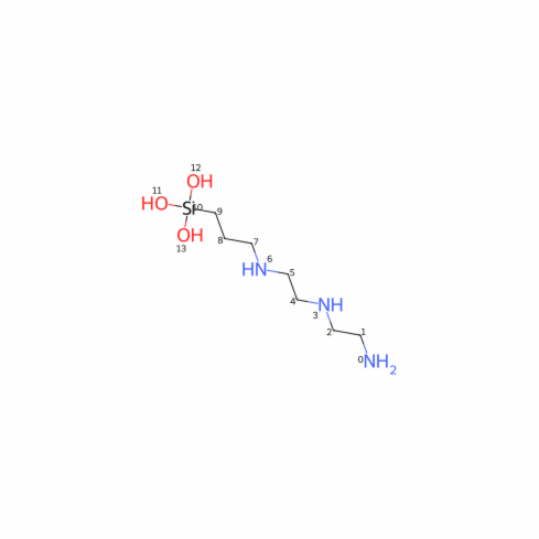 NCCNCCNCCC[Si](O)(O)O